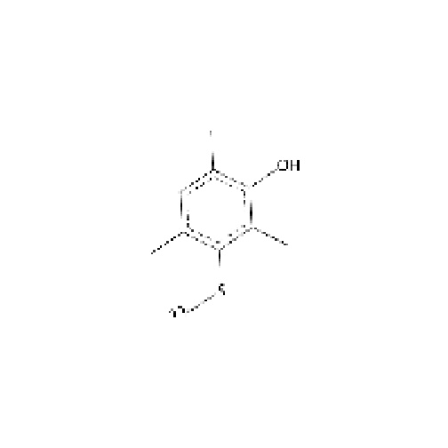 CCCSc1c(C)cc(C)c(O)c1C